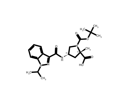 CC(C)n1nc(C(=O)N[C@@H]2CN(C(=O)OC(C)(C)C)[C@](C)(C(=O)O)C2)c2ccccc21